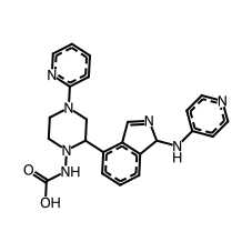 O=C(O)NN1CCN(c2ccccn2)CC1c1cccc2c1C=NC2Nc1ccncc1